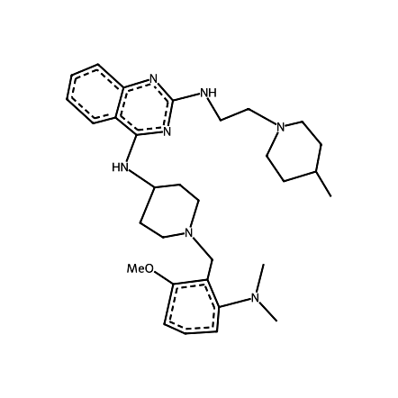 COc1cccc(N(C)C)c1CN1CCC(Nc2nc(NCCN3CCC(C)CC3)nc3ccccc23)CC1